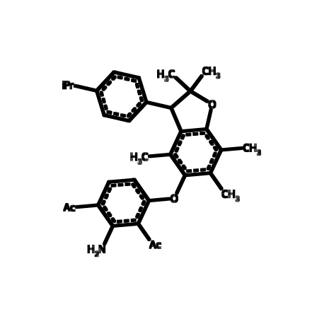 CC(=O)c1ccc(Oc2c(C)c(C)c3c(c2C)C(c2ccc(C(C)C)cc2)C(C)(C)O3)c(C(C)=O)c1N